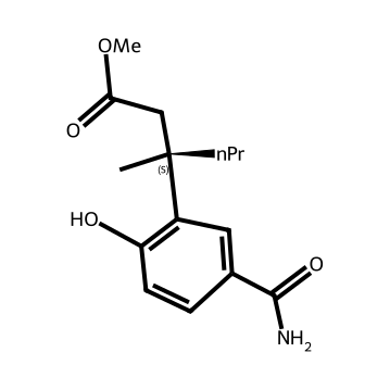 CCC[C@@](C)(CC(=O)OC)c1cc(C(N)=O)ccc1O